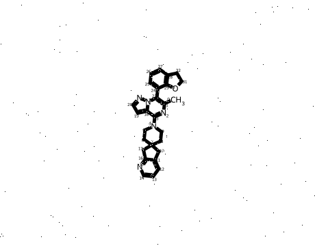 Cc1nc(N2CCC3(CC2)Cc2cccnc2C3)c2ccnn2c1-c1cccc2c1OCC2